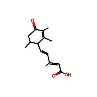 CC1=C(C)C(/C=C/C(C)=C/C(=O)O)C(C)CC1=O